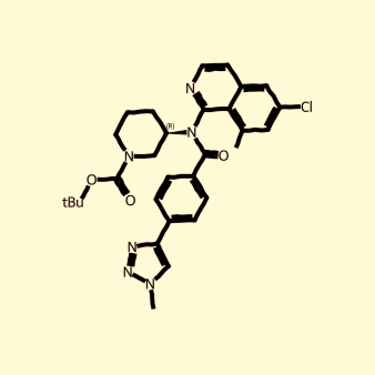 Cc1cc(Cl)cc2ccnc(N(C(=O)c3ccc(-c4cn(C)nn4)cc3)[C@@H]3CCCN(C(=O)OC(C)(C)C)C3)c12